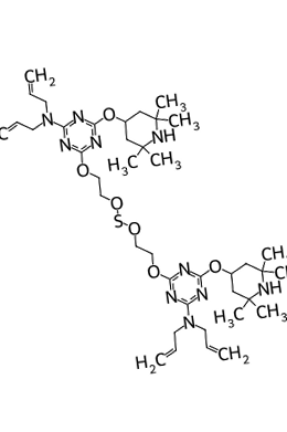 C=CCN(CC=C)c1nc(OCCOSOCCOc2nc(OC3CC(C)(C)NC(C)(C)C3)nc(N(CC=C)CC=C)n2)nc(OC2CC(C)(C)NC(C)(C)C2)n1